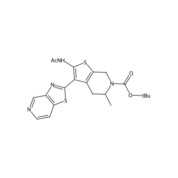 CC(=O)Nc1sc2c(c1-c1nc3cnccc3s1)CC(C)N(C(=O)OC(C)(C)C)C2